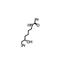 CC(C)CC(O)CCCCNC(=O)C(C)C